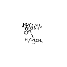 CC1CCCC(C)N1CCCCCN1C(=O)C(C)(c2cc(C(=N)N)ccc2O)Oc2ccccc21